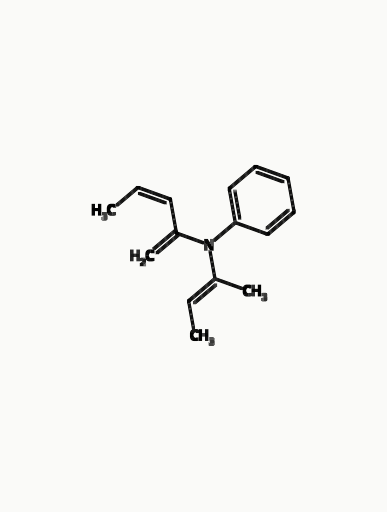 C=C(/C=C\C)N(/C(C)=C/C)c1ccccc1